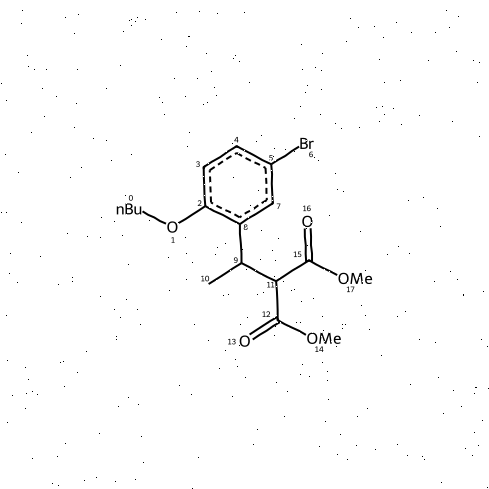 CCCCOc1ccc(Br)cc1C(C)C(C(=O)OC)C(=O)OC